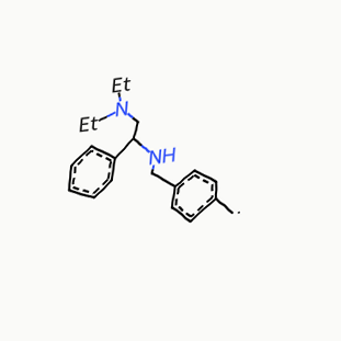 [CH2]c1ccc(CNC(CN(CC)CC)c2ccccc2)cc1